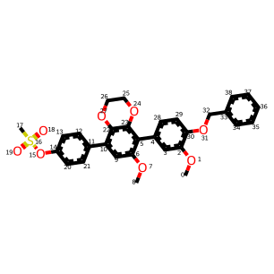 COc1cc(-c2c(OC)cc(-c3ccc(OS(C)(=O)=O)cc3)c3c2OCCO3)ccc1OCc1ccccc1